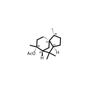 CC(=O)O[C@]1(C)CC[C@@]23C[C@@H]1C(C)(C)[C@@H]2CC[C@H]3C